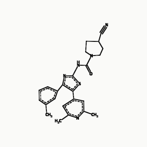 Cc1cccc(-c2nc(NC(=O)N3CCC(C#N)CC3)sc2-c2cc(C)nc(C)c2)c1